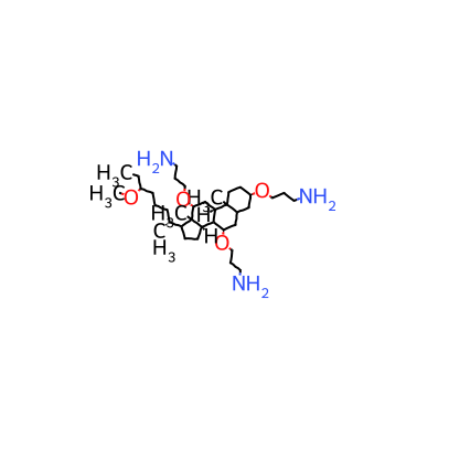 CCC(CCC[C@@H](C)C1CC[C@H]2C3[C@H](OCCCN)CC4C[C@H](OCCCN)CCC4(C)[C@H]3C[C@H](OCCCN)C12C)OC